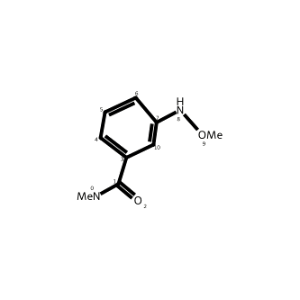 CNC(=O)c1cccc(NOC)c1